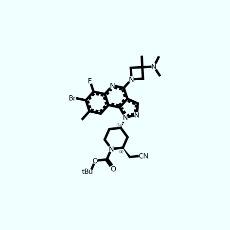 Cc1cc2c(nc(N3CC(C)(N(C)C)C3)c3cnn([C@H]4CCN(C(=O)OC(C)(C)C)[C@H](CC#N)C4)c32)c(F)c1Br